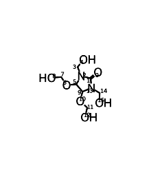 O=C1N(CO)C(OCO)C(OCO)N1CO